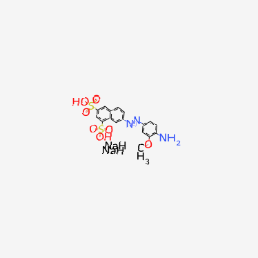 COc1cc(/N=N/c2ccc3cc(S(=O)(=O)O)cc(S(=O)(=O)O)c3c2)ccc1N.[NaH].[NaH]